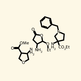 CCOC(=O)C1(N)CCN(Cc2ccccc2)C1.CCOC1OC(=O)CC1N.COC(=O)C1COCC1N